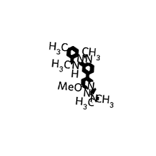 COc1cc(-c2ccc3nc(C)nc(NC(C)c4cccc(C)c4)c3c2)cn2cc(N(C)C)nc12